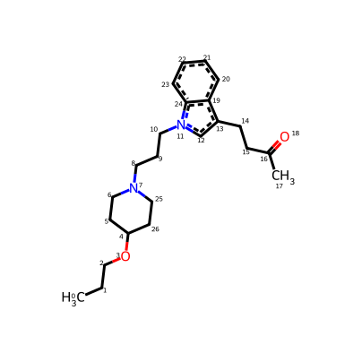 CCCOC1CCN(CCCn2cc(CCC(C)=O)c3ccccc32)CC1